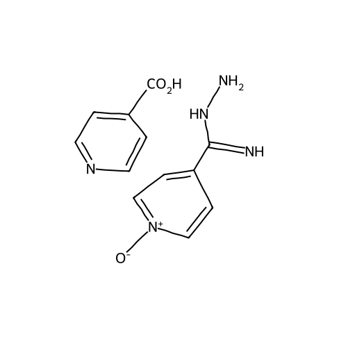 N=C(NN)c1cc[n+]([O-])cc1.O=C(O)c1ccncc1